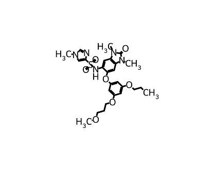 CCCOc1cc(OCCCOC)cc(Oc2cc3c(cc2NS(=O)(=O)c2cn(C)cn2)n(C)c(=O)n3C)c1